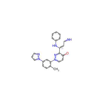 Cc1ccc(-n2cccn2)cc1-n1ccc(=O)c(/C(=C/C=N)Nc2ccccc2)n1